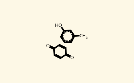 Cc1cccc(O)c1.O=C1C=CC(=O)C=C1